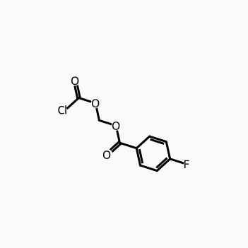 O=C(Cl)OCOC(=O)c1ccc(F)cc1